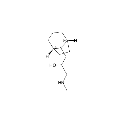 CNCC(O)CN1[C@@H]2C[CH]C[C@H]1CC2